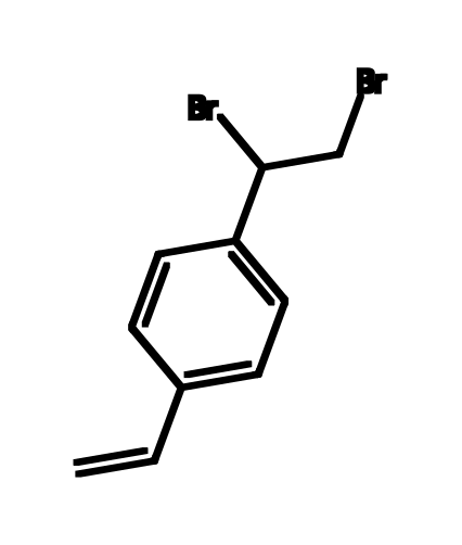 C=Cc1ccc(C(Br)CBr)cc1